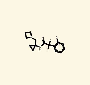 O=C(NC1(CN2CCC2)CC1)C(F)(F)c1ccccc1Cl